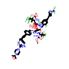 COC(=O)N[C@H](C(=O)N[C@@H](Cc1ccc(C#Cc2cnc(N3CCN(C4COC4)CC3)nc2)cc1)[C@@H](O)CN(Cc1c(F)cc(-c2cnn(C(F)F)c2)cc1F)NC(=O)[C@@H](NC(=O)OC)C(C)(C)C(F)(F)F)C(C)(C)C(F)(F)F